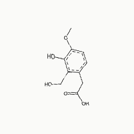 COc1ccc(CC(=O)O)c(CO)c1O